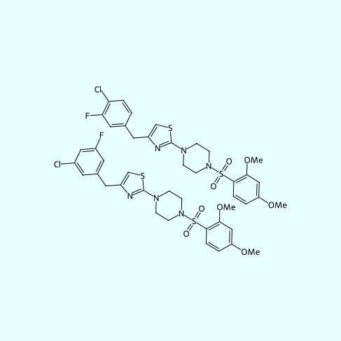 COc1ccc(S(=O)(=O)N2CCN(c3nc(Cc4cc(F)cc(Cl)c4)cs3)CC2)c(OC)c1.COc1ccc(S(=O)(=O)N2CCN(c3nc(Cc4ccc(Cl)c(F)c4)cs3)CC2)c(OC)c1